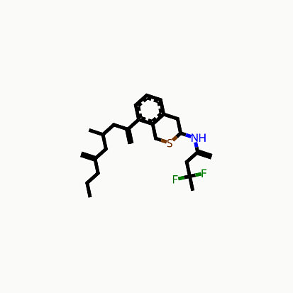 C=C(CCC)CC(C)CC(=C)c1cccc2c1CSC(NC(=C)CC(C)(F)F)C2